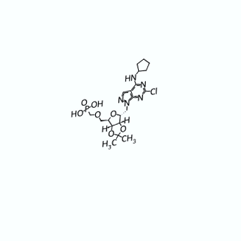 CC1(C)O[C@@H]2[C@H](O1)[C@@H](COCP(=O)(O)O)O[C@@H]2Cn1ncc2c(NC3CCCC3)nc(Cl)nc21